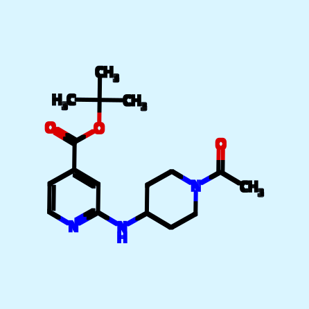 CC(=O)N1CCC(Nc2cc(C(=O)OC(C)(C)C)ccn2)CC1